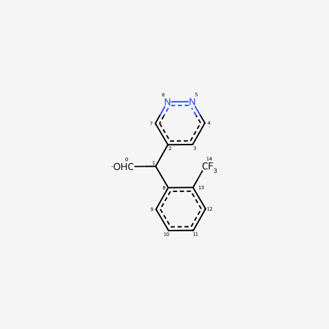 O=[C]C(c1ccnnc1)c1ccccc1C(F)(F)F